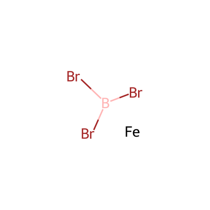 BrB(Br)Br.[Fe]